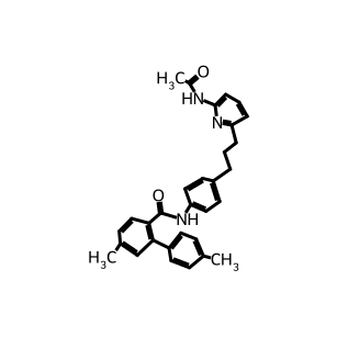 CC(=O)Nc1cccc(CCCc2ccc(NC(=O)c3ccc(C)cc3-c3ccc(C)cc3)cc2)n1